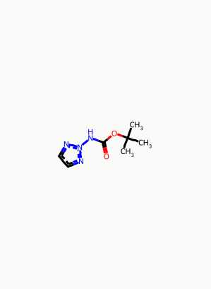 CC(C)(C)OC(=O)Nn1nccn1